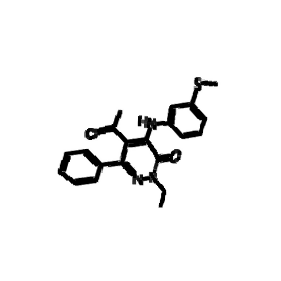 CCn1nc(-c2ccccc2)c(C(C)=O)c(Nc2cccc(SC)c2)c1=O